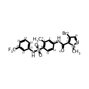 Cc1cc(NC(=O)c2c(Br)cnn2C)ccc1S(=O)(=O)Nc1cccc(C(F)(F)F)c1